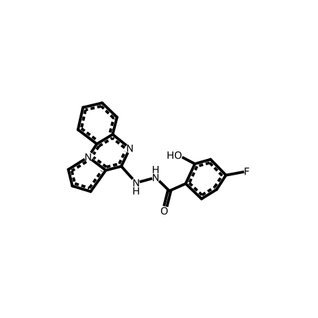 O=C(NNc1nc2ccccc2n2cccc12)c1ccc(F)cc1O